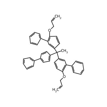 C=CCOc1ccc(C(C)(c2ccc(-c3ccccc3)cc2)c2ccc(OCC=C)c(-c3ccccc3)c2)cc1-c1ccccc1